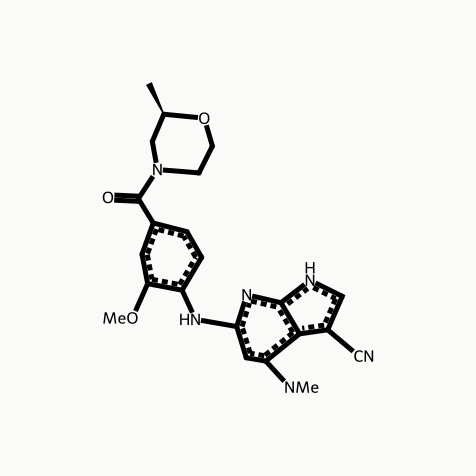 CNc1cc(Nc2ccc(C(=O)N3CCO[C@H](C)C3)cc2OC)nc2[nH]cc(C#N)c12